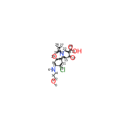 COCCCN(C)c1cc2c(cc1Cl)-c1cc(=O)c(C(=O)O)cn1[C@H](C(C)C)CO2